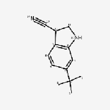 CC(C)(C)c1ccc2c(c1)NCC2C#N